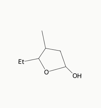 CCC1OC(O)CC1C